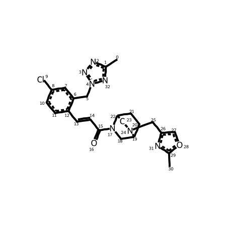 Cc1nnn(Cc2cc(Cl)ccc2C=CC(=O)N2CC3CCC2CN3Cc2coc(C)n2)n1